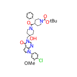 COc1cc(-n2ccc3c(=O)n(CC4(O)CCN(C(=O)[C@@H]5CCN(C(=O)OC(C)(C)C)C[C@H]5c5ccccc5)CC4)cnc32)ccc1Cl